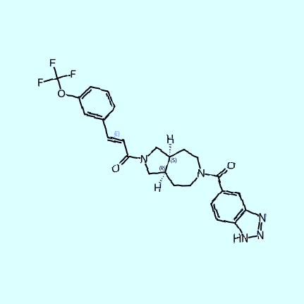 O=C(/C=C/c1cccc(OC(F)(F)F)c1)N1C[C@H]2CCN(C(=O)c3ccc4[nH]nnc4c3)CC[C@H]2C1